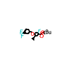 CC(C)(C)OC(=O)c1cc(C2CC2)c(OCC2CCC3C(C2)C3(F)F)cc1F